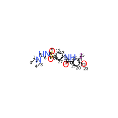 CCN(CC)CCNS(=O)(=O)c1ccc(NC(=O)c2ccc(OC)c(I)c2)cc1